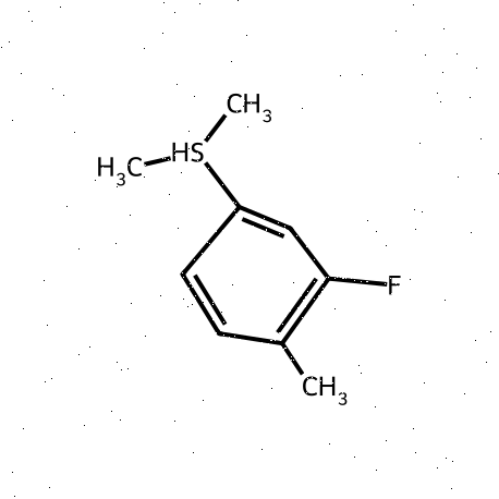 Cc1ccc([SH](C)C)cc1F